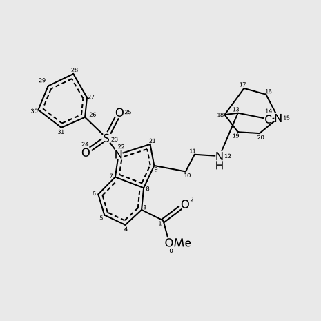 COC(=O)c1cccc2c1c(CCNC1CN3CCC1CC3)cn2S(=O)(=O)c1ccccc1